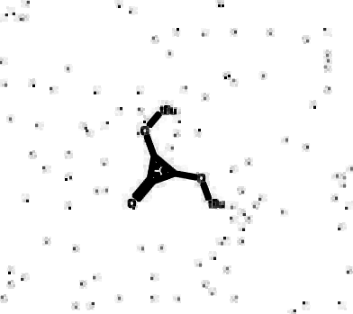 CC(C)(C)Oc1c(OC(C)(C)C)c1=O